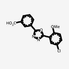 COc1ccc(Cl)cc1-c1nnc(-c2cccc(C(=O)O)c2)o1